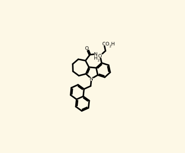 NC(=O)C1CCCCc2c1c1c(OCC(=O)O)cccc1n2Cc1cccc2ccccc12